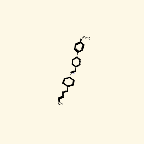 CCCCCc1ccc([C@H]2CC[C@H](/C=C/[C@H]3CC[C@H](CCC=CC#N)CC3)CC2)cc1